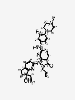 C=CCn1c(=O)c2cnc(Nc3ccc(N4CCN(C)CC4)c(F)c3)nc2n1-c1ccc2c(n1)[C@](O)(CC)CC2